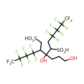 O=S(=O)(O)CC(C(O)(CCCO)C(CC(F)(F)C(F)(F)C(F)(F)C(F)(F)F)S(=O)(=O)O)C(F)(F)C(F)(F)C(F)(F)C(F)(F)F